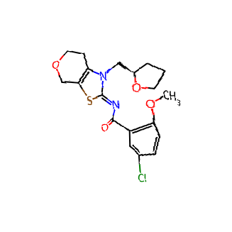 COc1ccc(Cl)cc1C(=O)N=c1sc2c(n1C[C@H]1CCCO1)CCOC2